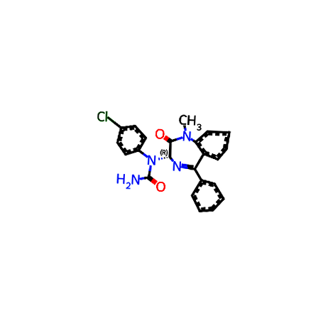 CN1C(=O)[C@@H](N(C(N)=O)c2ccc(Cl)cc2)N=C(c2ccccc2)c2ccccc21